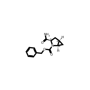 NC(=O)[C@H]1C[C@H]2C[C@H]2N1C(=O)OCc1ccccc1